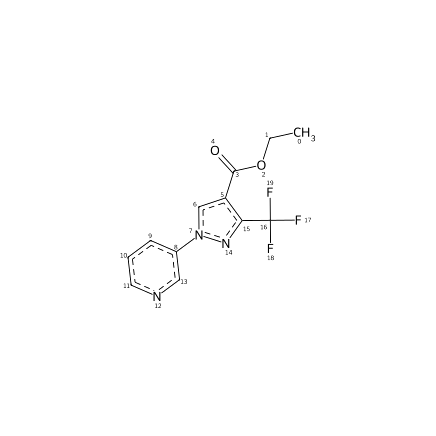 CCOC(=O)c1cn(-c2cccnc2)nc1C(F)(F)F